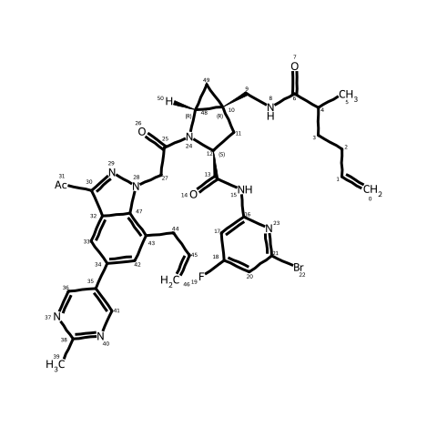 C=CCCC(C)C(=O)NC[C@@]12C[C@@H](C(=O)Nc3cc(F)cc(Br)n3)N(C(=O)Cn3nc(C(C)=O)c4cc(-c5cnc(C)nc5)cc(CC=C)c43)[C@@H]1C2